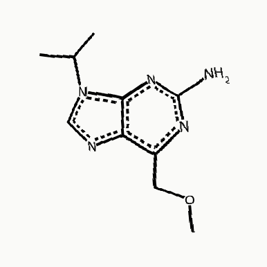 COCc1nc(N)nc2c1ncn2C(C)C